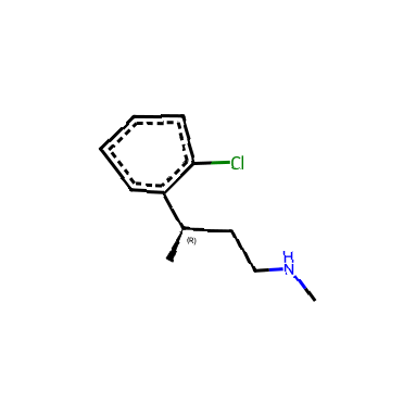 CNCC[C@@H](C)c1ccccc1Cl